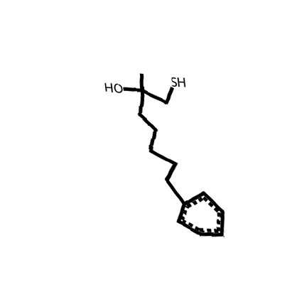 CC(O)(CS)CCCCCc1ccccc1